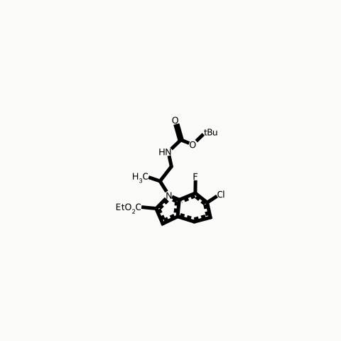 CCOC(=O)c1cc2ccc(Cl)c(F)c2n1C(C)CNC(=O)OC(C)(C)C